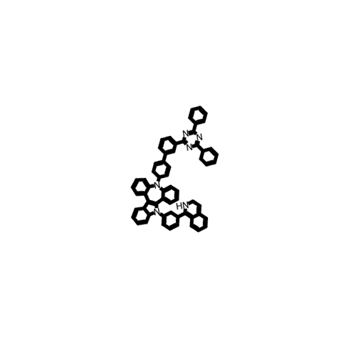 C1=CCC(c2nc(-c3ccccc3)nc(-c3cccc(C4=CCC(N5c6ccccc6C6=C(c7ccccc75)N(C5=CC=CC(C7=c8ccccc8=CCN7)C5)C5C=CC=CC65)C=C4)c3)n2)C=C1